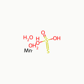 O.O.O=S(O)(O)=S.[Mn]